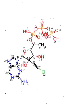 C[C@@H](OP(=O)(O)OP(=O)(O)OP(=O)(O)O)[C@H]1O[C@@H](n2cnc3cnc(N)nc32)C(O)(C#CCl)[C@H]1O